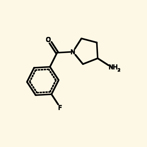 NC1CCN(C(=O)c2cccc(F)c2)C1